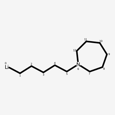 [Li][CH2]CCCCN1CCCCCC1